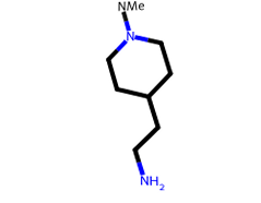 CNN1CCC(CCN)CC1